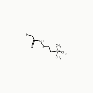 C[N+](C)(C)CCSNC(=O)CI